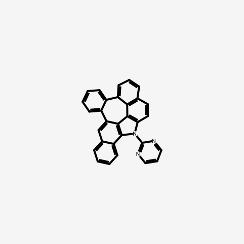 c1cnc(-n2c3ccc4cccc5c4c3c3c(cc4ccccc4c32)-c2ccccc2-5)nc1